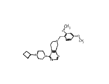 COc1ccc(CN2CCc3c(ncnc3N3CCN(C4CCC4)CC3)C2)c(OC)c1